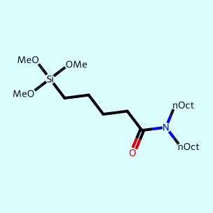 CCCCCCCCN(CCCCCCCC)C(=O)CCCC[Si](OC)(OC)OC